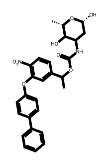 CC(OC(=O)NC1C[C@@H](O)O[C@@H](C)C1O)c1ccc([N+](=O)[O-])c(Oc2ccc(-c3ccccc3)cc2)c1